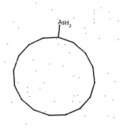 [AsH2]C1CCCCCCCCCCCCCCC1